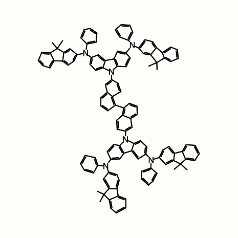 CC1(C)c2ccccc2-c2ccc(N(c3ccccc3)c3ccc4c(c3)c3cc(N(c5ccccc5)c5ccc6c(c5)C(C)(C)c5ccccc5-6)ccc3n4-c3ccc4c(-c5cccc6cc(-n7c8ccc(N(c9ccccc9)c9ccc%10c(c9)C(C)(C)c9ccccc9-%10)cc8c8cc(N(c9ccccc9)c9ccc%10c(c9)C(C)(C)c9ccccc9-%10)ccc87)ccc56)cccc4c3)cc21